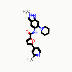 Cc1cc(-c2ccc(C(=O)Nc3cc4cn(C)nc4cc3N3CCCCC3)o2)ccn1